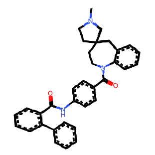 CN1CCC2(CCN(C(=O)c3ccc(NC(=O)c4ccccc4-c4ccccc4)cc3)c3ccccc3C2)C1